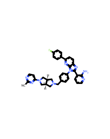 N#Cc1nccc(N2C[C@H]3CN(Cc4ccc(-n5c(-c6cccnc6N)nc6ccc(-c7ccc(F)cc7)nc65)cc4)C[C@H]3C2)n1